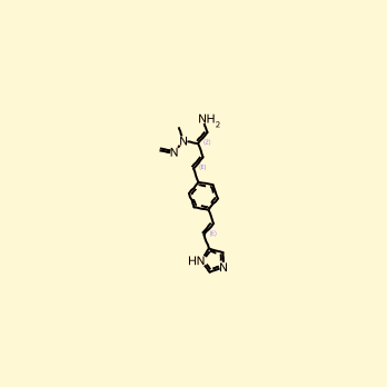 C=NN(C)C(=C\N)/C=C/c1ccc(/C=C/c2cnc[nH]2)cc1